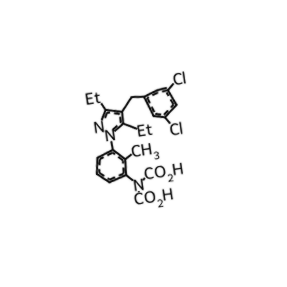 CCc1nn(-c2cccc(N(C(=O)O)C(=O)O)c2C)c(CC)c1Cc1cc(Cl)cc(Cl)c1